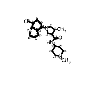 C[C@H]1CN(c2ccc(Cl)c3ncccc23)CC1C(=O)NC1CCN(C)CC1